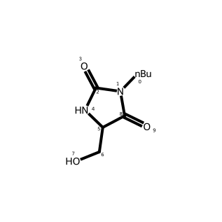 CCCCN1C(=O)NC(CO)C1=O